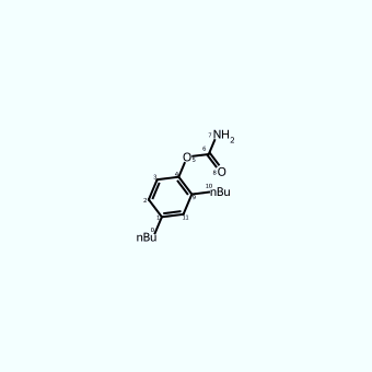 CCCCc1ccc(OC(N)=O)c(CCCC)c1